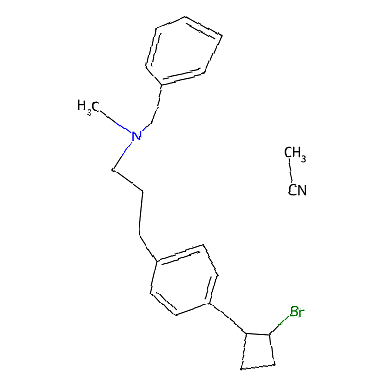 CC#N.CN(CCCc1ccc(C2CCC2Br)cc1)Cc1ccccc1